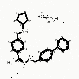 CC(=NOCc1ccc(-c2ccccc2)cc1)c1ccc(CNC2CCCC2)cc1.O=C(O)O